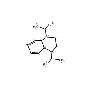 CC(C)C1CCN(C(C)C)C2C=CC=CC12